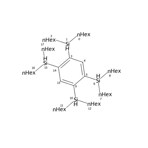 CCCCCC[SiH](CCCCCC)c1cc([SiH](CCCCCC)CCCCCC)c([SiH](CCCCCC)CCCCCC)cc1[SiH](CCCCCC)CCCCCC